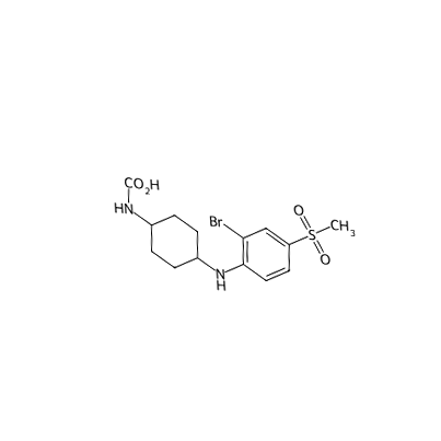 CS(=O)(=O)c1ccc(NC2CCC(NC(=O)O)CC2)c(Br)c1